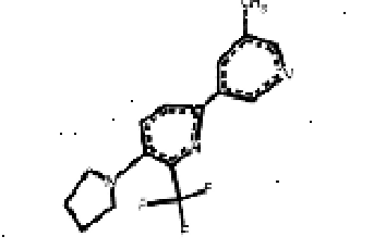 Cc1cncc(-c2ccc(N3CCCC3)c(C(F)(F)F)n2)c1